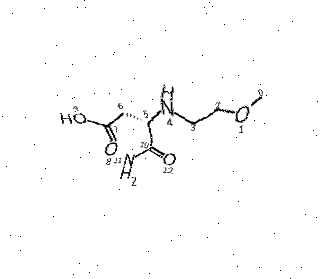 COCCN[C@@H](CC(=O)O)C(N)=O